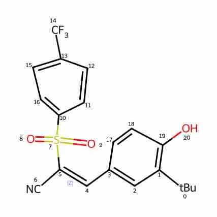 CC(C)(C)c1cc(/C=C(/C#N)S(=O)(=O)c2ccc(C(F)(F)F)cc2)ccc1O